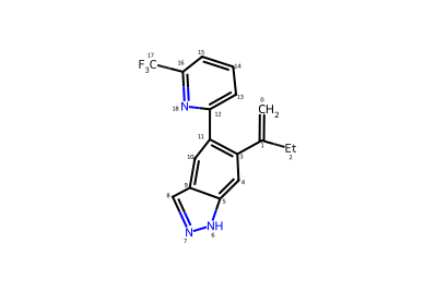 C=C(CC)c1cc2[nH]ncc2cc1-c1cccc(C(F)(F)F)n1